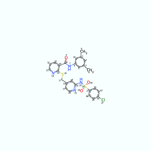 Cc1cc(C)cc(NC(=O)c2cccnc2SCc2ccnc(NS(=O)(=O)c3ccc(Cl)cc3)c2)c1